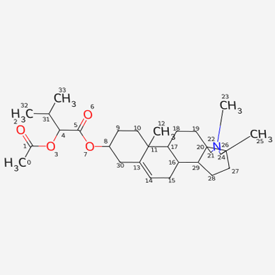 CC(=O)OC(C(=O)OC1CCC2(C)C(=CCC3C2CCC24CN(C)C(C)C2CCC34)C1)C(C)C